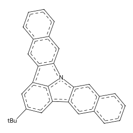 CC(C)(C)c1cc2c3cc4ccccc4cc3n3c4cc5ccccc5cc4c(c1)c23